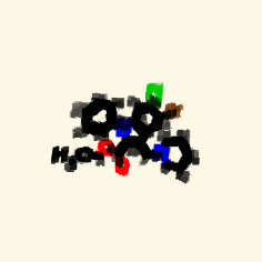 CCOC(=O)c1c(CN2CCCCC2)c2cc(Br)c(Cl)cc2n1-c1ccccc1